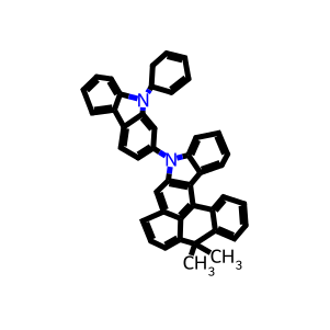 CC1(C)c2ccccc2-c2c3c1cccc3cc1c2c2ccccc2n1-c1ccc2c3ccccc3n(C3C=CC=CC3)c2c1